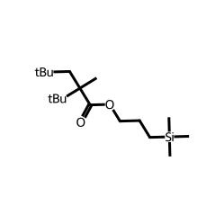 CC(C)(C)CC(C)(C(=O)OCCC[Si](C)(C)C)C(C)(C)C